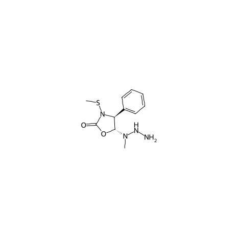 CSN1C(=O)O[C@@H](N(C)NN)[C@@H]1c1ccccc1